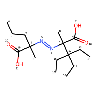 CCCC(C)(N=NC(C)(C(=O)O)C(CC)(CC)CC)C(=O)O